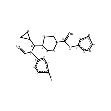 O=CN(c1ccc(F)cc1)C(C1CC1)C1CCN(C(=O)Oc2ccccc2)CC1